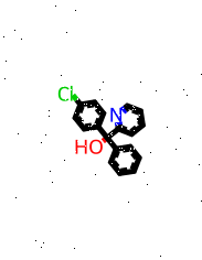 OC(c1ccccc1)(c1ccc(Cl)cc1)c1ccccn1